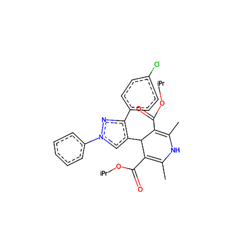 CC1=C(C(=O)OC(C)C)C(c2cn(-c3ccccc3)nc2-c2ccc(Cl)cc2)C(C(=O)OC(C)C)=C(C)N1